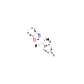 CC(C)C(C)(c1ccc(Br)cc1)c1nc2ccccc2o1